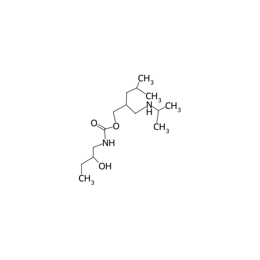 CCC(O)CNC(=O)OCC(CNC(C)C)CC(C)C